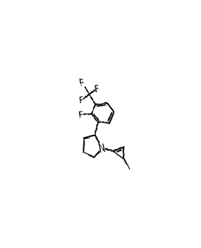 CC1C=C1N1CCCC1c1cccc(C(F)(F)F)c1F